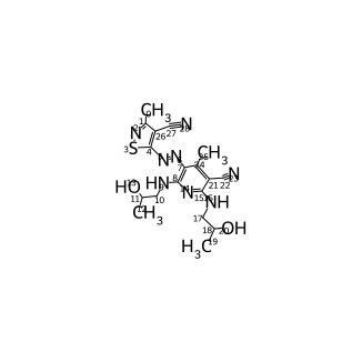 Cc1nsc(N=Nc2c(NCC(C)O)nc(NCC(C)O)c(C#N)c2C)c1C#N